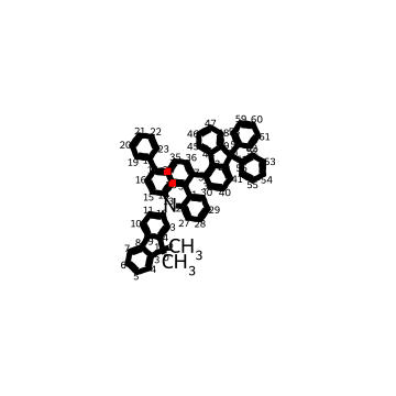 CC1(C)c2ccccc2-c2ccc(N(c3ccc(-c4ccccc4)cc3)c3ccccc3-c3ccccc3-c3cccc4c3-c3ccccc3C4(c3ccccc3)c3ccccc3)cc21